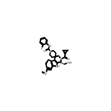 COc1ccc2c3c([nH]c2c1)[C@H](CO)N(C(=O)C1CC1)CC31CCN(C(=O)Nc2ccccc2F)CC1